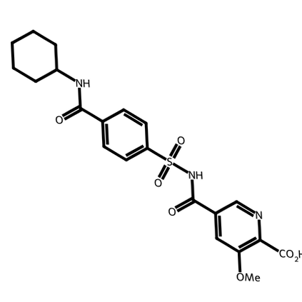 COc1cc(C(=O)NS(=O)(=O)c2ccc(C(=O)NC3CCCCC3)cc2)cnc1C(=O)O